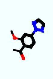 COc1cc(-n2nccn2)ccc1C(C)=O